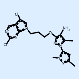 Cc1cc(-n2nc(OCCCn3cc(Cl)c4cnc(Cl)nc43)c(N)c2C)n(C)n1